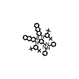 CC(C)(C)c1cc(N2c3cc4cc5ccccc5cc4cc3B3c4cc5cc6ccccc6cc5cc4N(c4cc(C(C)(C)C)cc(C(C)(C)C)c4)c4cc(-c5nc(-c6ccccc6)nc(-c6ccccc6)n5)cc2c43)cc(C(C)(C)C)c1